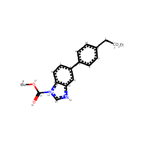 CCOC(=O)Cc1ccc(-c2ccc3c(c2)ncn3C(=O)OC(C)(C)C)cc1